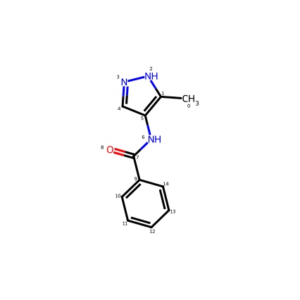 Cc1[nH]ncc1NC(=O)c1ccccc1